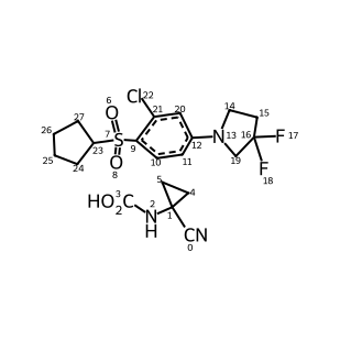 N#CC1(NC(=O)O)CC1.O=S(=O)(c1ccc(N2CCC(F)(F)C2)cc1Cl)C1CCCC1